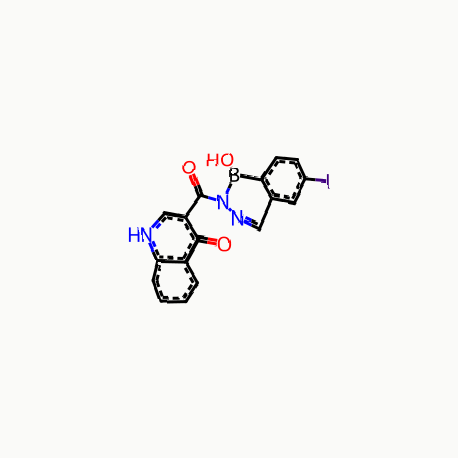 O=C(c1c[nH]c2ccccc2c1=O)N1N=Cc2cc(I)ccc2B1O